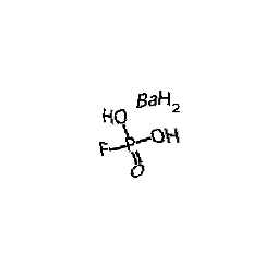 O=P(O)(O)F.[BaH2]